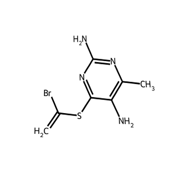 C=C(Br)Sc1nc(N)nc(C)c1N